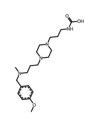 COc1ccc(CN(C)CCCN2CCN(CCCNC(=O)O)CC2)cc1